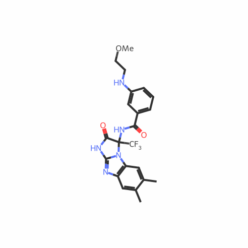 COCCNc1cccc(C(=O)NC2(C(F)(F)F)C(=O)Nc3nc4cc(C)c(C)cc4n32)c1